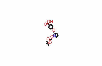 CC(C)(C)OC(=O)CON1CCC[C@H]1COC1CCC(C(=O)O)CC1